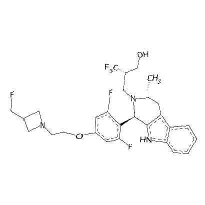 C[C@@H]1Cc2c([nH]c3ccccc23)[C@@H](c2c(F)cc(OCCN3CC(CF)C3)cc2F)N1C[C@@H](CO)C(F)(F)F